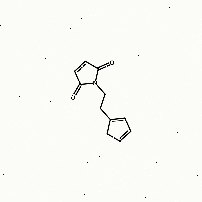 O=C1C=CC(=O)N1CCC1=CC=CC1